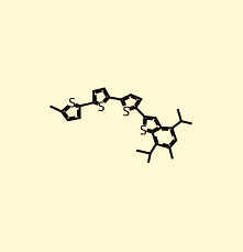 Cc1ccc(-c2ccc(-c3ccc(-c4cc5c(C(C)C)cc(C)c(C(C)C)c5s4)s3)s2)s1